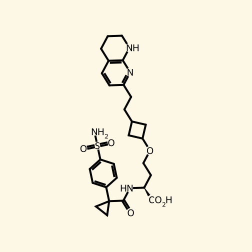 NS(=O)(=O)c1ccc(C2(C(=O)N[C@@H](CCOC3CC(CCc4ccc5c(n4)NCCC5)C3)C(=O)O)CC2)cc1